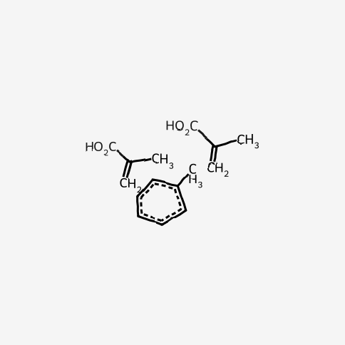 C=C(C)C(=O)O.C=C(C)C(=O)O.Cc1ccccc1